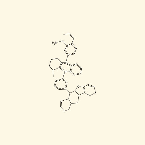 C/C=C\c1ccc(-c2c3c(c(-c4cccc(C5C6C=CCCC6CC6C7=C(C=CCC7)OC65)c4)c4ccccc24)C(C)CCC3)cc1CN